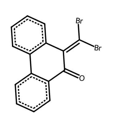 O=C1C(=C(Br)Br)c2ccccc2-c2ccccc21